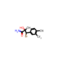 CC(O)(C(N)=O)C(Br)c1ccc(C#N)c(C(F)(F)F)c1